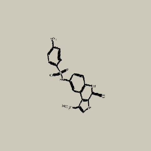 O=C(O)c1c[nH]c2c(=O)[nH]c3ccc(NS(=O)(=O)c4ccc([N+](=O)[O-])cc4)cc3c12